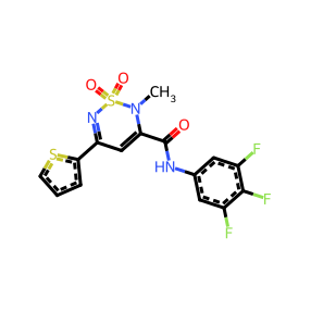 CN1C(C(=O)Nc2cc(F)c(F)c(F)c2)=CC(c2cccs2)=NS1(=O)=O